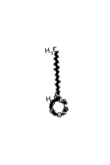 CCCCCCCCCCCCCCCCCCOCC1(C)COCCOCCOCCOCCOC1